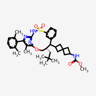 COC(=O)NC1CC2(C1)CC(C1c3cccc(c3)S(=O)(=O)Nc3nc(c(C)c(-c4c(C)cccc4C)n3)OC[C@H]1CC(C)(C)C)C2